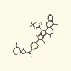 Cc1c(-c2c(C(C)C)c3c(C)c(C4CCN(C(=O)[C@H]5C[C@@]6(CNCCO6)C5)CC4)sc3n2C(=O)OC(C)(C)C)cn2ncnc2c1C